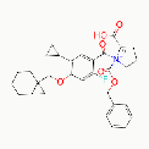 O=C(O)[C@@H]1CCC[N+]1(C(=O)OCc1ccccc1)C(=O)c1cc(C2CC2)c(OCC23CCCCC2C3)cc1F